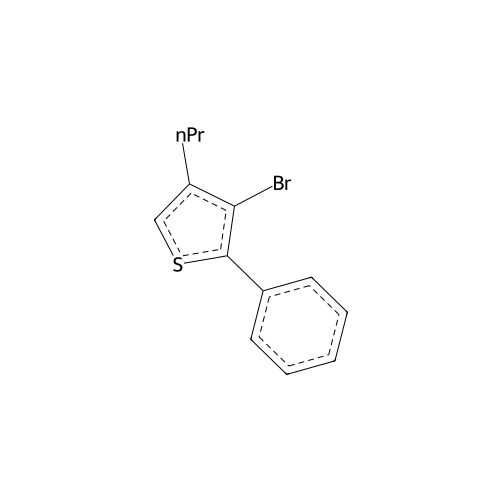 CCCc1csc(-c2ccccc2)c1Br